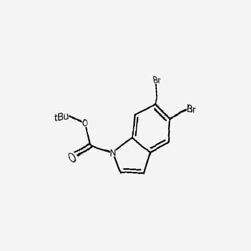 CC(C)(C)OC(=O)n1ccc2cc(Br)c(Br)cc21